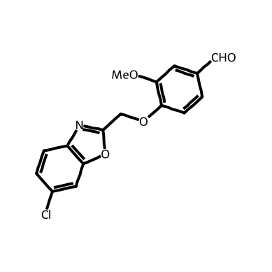 COc1cc(C=O)ccc1OCc1nc2ccc(Cl)cc2o1